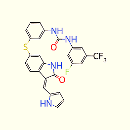 O=C(Nc1cccc(Sc2ccc3c(c2)NC(=O)/C3=C\c2ccc[nH]2)c1)Nc1cc(F)cc(C(F)(F)F)c1